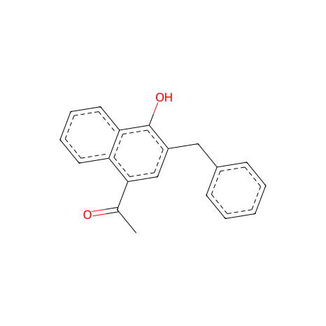 CC(=O)c1cc(Cc2ccccc2)c(O)c2ccccc12